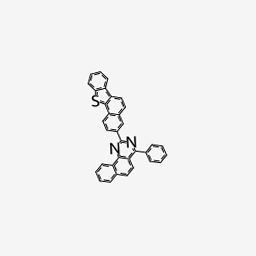 c1ccc(-c2nc(-c3ccc4c(ccc5c6ccccc6sc45)c3)nc3c2ccc2ccccc23)cc1